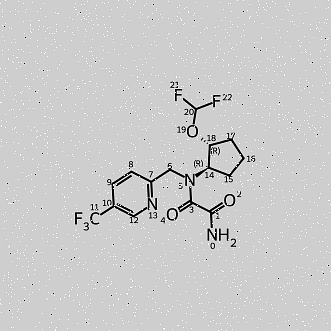 NC(=O)C(=O)N(Cc1ccc(C(F)(F)F)cn1)[C@@H]1CCC[C@H]1OC(F)F